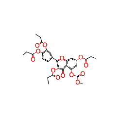 CCC(=O)Oc1cc(OC(=O)OC)c2c(=O)c(OC(=O)CC)c(-c3ccc(OC(=O)CC)c(OC(=O)CC)c3)oc2c1